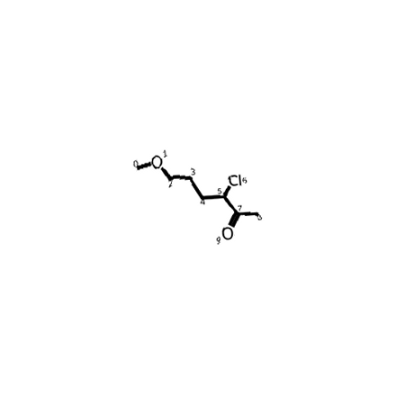 COCCCC(Cl)C(C)=O